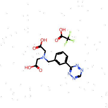 O=C(O)C(F)(F)F.O=C(O)CN(CC(=O)O)Cc1cccc(-c2nncnn2)c1